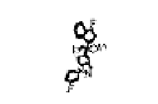 OC(CF)(c1ccc2c(cnn2-c2cccc(F)c2)c1)c1ccc(F)c2ccccc12